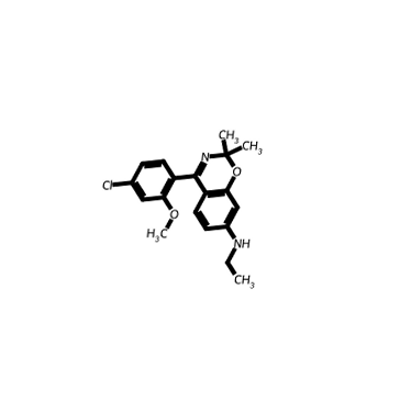 CCNc1ccc2c(c1)OC(C)(C)N=C2c1ccc(Cl)cc1OC